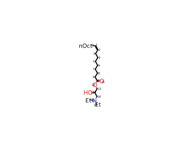 CCCCCCCC/C=C\CCCCCCCC(=O)OCC(O)CN(CC)CC